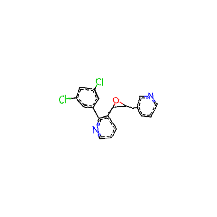 Clc1cc(Cl)cc(-c2ncccc2C2OC2c2cccnc2)c1